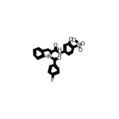 O=C(NC(Cc1ccccc1)C(=O)Nc1ccc(S(=O)(=O)Cl)c(Cl)c1)c1ccc(F)cc1